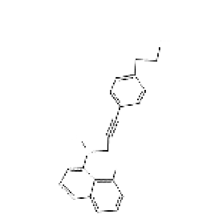 CCCc1ccc(C#CCN(C)c2cccc3cccc(I)c23)cc1